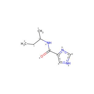 CCC(C)NC(=O)c1c[nH]cn1